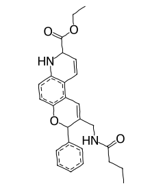 CCCC(=O)NCC1=Cc2c(ccc3c2C=CC(C(=O)OCC)N3)OC1c1ccccc1